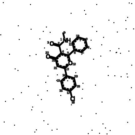 CNC(=O)c1c(-c2ccccc2)oc(-c2ccc(Cl)cc2)cc1=O